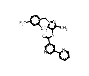 Cc1nn(Cc2ccc(C(F)(F)F)cc2C(F)(F)F)cc1NC(=O)c1cncc(-c2ccccn2)c1